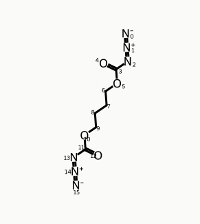 [N-]=[N+]=NC(=O)OCCCCOC(=O)N=[N+]=[N-]